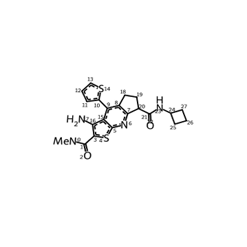 CNC(=O)c1sc2nc3c(c(-c4cccs4)c2c1N)CCC3C(=O)NC1CCC1